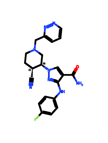 N#C[C@@H]1CCN(Cc2cccnn2)C[C@H]1n1cc(C(N)=O)c(Nc2ccc(F)cc2)n1